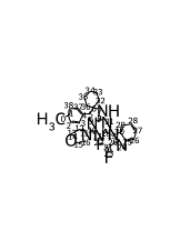 Cc1ccc(CC2(Nc3nc(N4CCOCC4)nc(-n4c(C(F)F)nc5ccccc54)n3)CCCCC2)cc1